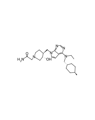 CCN(C[C@H]1CC[C@H](C)CC1)c1ncnc2c1ccn2C[C@@H]1CCN(CC(N)=O)C[C@H]1O